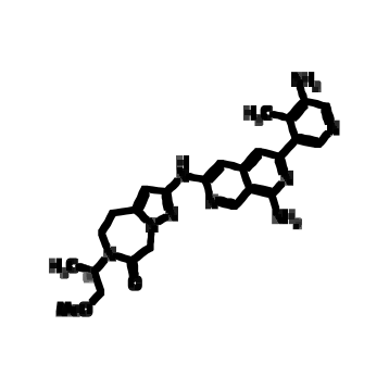 COC[C@@H](C)N1CCc2cc(Nc3cc4cc(-c5cncc(N)c5C)nc(N)c4cn3)nn2CC1=O